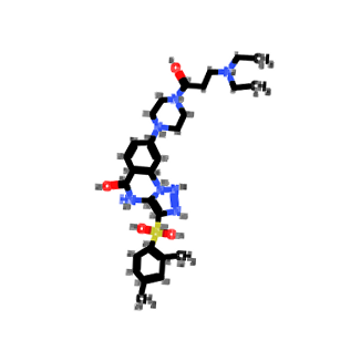 CCN(CC)CCC(=O)N1CCN(c2ccc3c(=O)[nH]c4c(S(=O)(=O)c5ccc(C)cc5C)nnn4c3c2)CC1